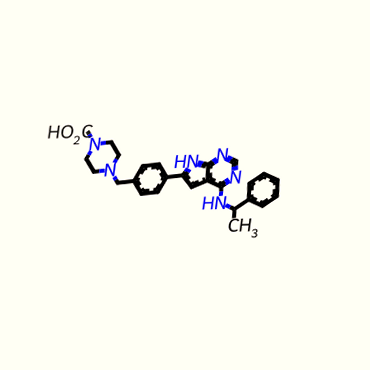 CC(Nc1ncnc2[nH]c(-c3ccc(CN4CCN(C(=O)O)CC4)cc3)cc12)c1ccccc1